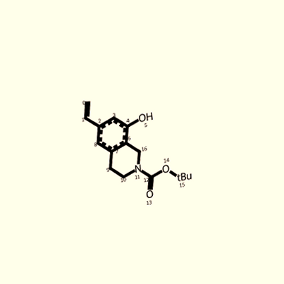 C=Cc1cc(O)c2c(c1)CCN(C(=O)OC(C)(C)C)C2